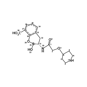 O=C(COC1CCNCC1)N[C@H]1Cc2cccc(C(=O)O)c2OB1O